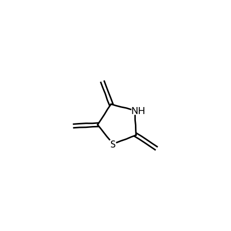 C=C1NC(=C)C(=C)S1